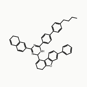 CCCCc1ccc(-c2ccc(C3=NC(c4ccc5c(c4)CCC=C5)=NC(C4=CCCc5oc6cc(-c7ccccc7)ccc6c54)N3)cc2)cc1